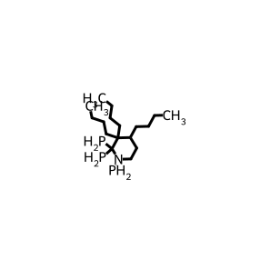 CCCCC1CCN(P)C(P)(P)C1(CCCC)CCCC